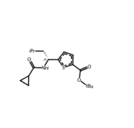 CC(C)C[C@@H](NC(=O)C1CC1)c1ccc(C(=O)OC(C)(C)C)s1